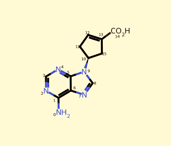 Nc1ncnc2c1ncn2[C@H]1CC=C(C(=O)O)C1